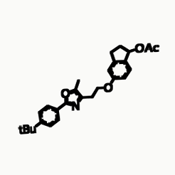 CC(=O)OC1CCc2cc(OCCc3nc(-c4ccc(C(C)(C)C)cc4)oc3C)ccc21